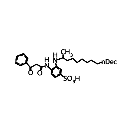 CCCCCCCCCCCCCCCCCC(C)Nc1cc(S(=O)(=O)O)ccc1NC(=O)CC(=O)c1ccccc1